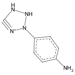 Nc1ccc(N2[N+]#CNN2)cc1